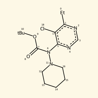 CCc1ncnc(N(C(=O)OC(C)(C)C)N2CCCCC2)c1Cl